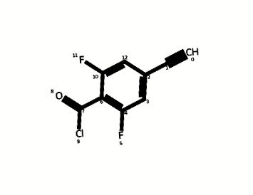 C#Cc1cc(F)c(C(=O)Cl)c(F)c1